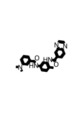 Cc1ccc(NC(=O)c2cccc(N(C)C)c2)cc1NC(=O)c1ccc2nccnc2c1